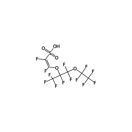 O=S(=O)(O)C(F)=C(F)OC(F)(C(F)(F)F)C(F)(F)OC(F)(F)C(F)(F)F